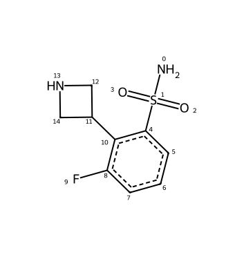 NS(=O)(=O)c1cccc(F)c1C1CNC1